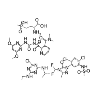 CCNc1nc(Cl)nc(NC(C)C)n1.COc1cc(OC)nc(NC(=O)NS(=O)(=O)c2ncccc2C(=O)N(C)C)n1.CP(=O)(O)CCC(N)C(=O)O.Cc1nn(-c2cc(NS(C)(=O)=O)c(Cl)cc2Cl)c(=O)n1C(F)F